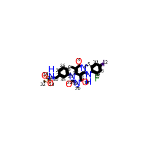 Cc1c(=O)n(C)c(Nc2ccc(I)cc2F)c2c(=O)n(C)c(=O)n(-c3cccc(CNS(C)(=O)=O)c3)c12